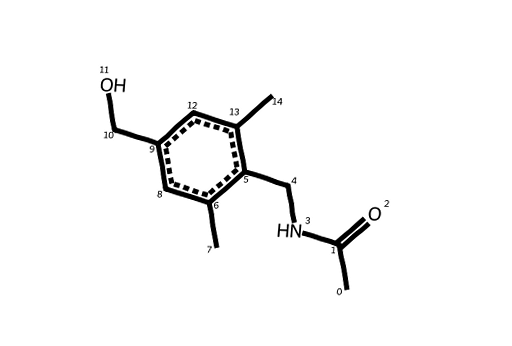 CC(=O)NCc1c(C)cc(CO)cc1C